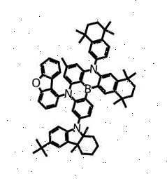 Cc1cc2c3c(c1)N(c1cccc4oc5ccccc5c14)c1cc(N4c5ccc(C(C)(C)C)cc5C5(C)CCCCC45C)ccc1B3c1cc3c(cc1N2c1ccc2c(c1)C(C)(C)CCC2(C)C)C(C)(C)CCC3(C)C